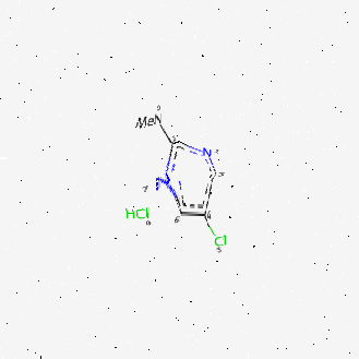 CNc1ncc(Cl)cn1.Cl